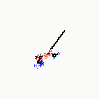 CCCCCCCCCCCCCCCCCOC[C@H](COP(=O)(O)OC[C@@]1(C)OCC2(c3ccc4c(N)ncnn34)OC(C)(C)O[C@@H]21)OCc1cc(F)cc(C#N)c1